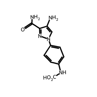 NC(=O)c1nn(-c2ccc(NC(=O)O)cc2)cc1N